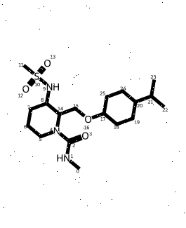 CNC(=O)N1CCCC(NS(C)(=O)=O)C1COC1CCC(C(C)C)CC1